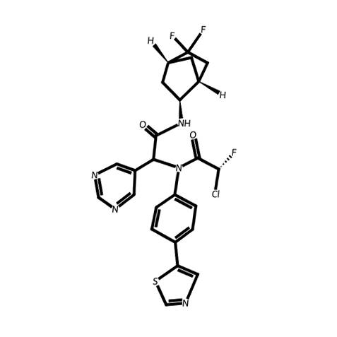 O=C(N[C@H]1C[C@H]2C[C@@H]1CC2(F)F)C(c1cncnc1)N(C(=O)[C@H](F)Cl)c1ccc(-c2cncs2)cc1